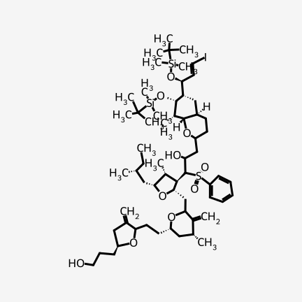 C=C1C[C@H](CCCO)OC1CC[C@H]1C[C@@H](C)C(=C)C(C[C@@H]2O[C@H](C[C@H](C)CC)[C@H](C)[C@H]2C(C(O)CC2CC[C@@H]3C[C@@H]([C@H](/C=C/I)O[Si](C)(C)C(C)(C)C)[C@@H](O[Si](C)(C)C(C)(C)C)[C@@H](C)[C@H]3O2)S(=O)(=O)c2ccccc2)O1